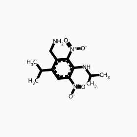 CC(C)Nc1c([N+](=O)[O-])cc(C(C)C)c(CN)c1[N+](=O)[O-]